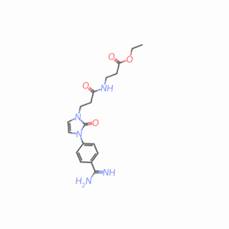 CCOC(=O)CCNC(=O)CCn1ccn(-c2ccc(C(=N)N)cc2)c1=O